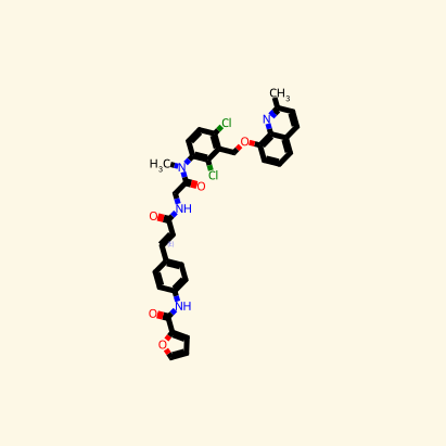 Cc1ccc2cccc(OCc3c(Cl)ccc(N(C)C(=O)CNC(=O)/C=C/c4ccc(NC(=O)c5ccco5)cc4)c3Cl)c2n1